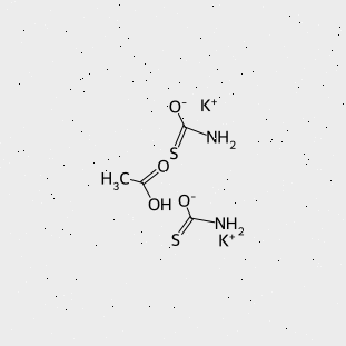 CC(=O)O.NC([O-])=S.NC([O-])=S.[K+].[K+]